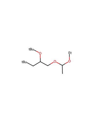 CCOC(C)OCC(CC(C)(C)C)OC(C)(C)C